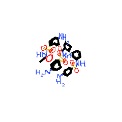 CC(=O)NS(=O)(=O)c1ccc(N)cc1.Nc1ccc(S(=O)(=O)NC(=O)c2ccccc2)cc1.Nc1ccc(S(=O)(=O)Nc2ccccc2)cc1